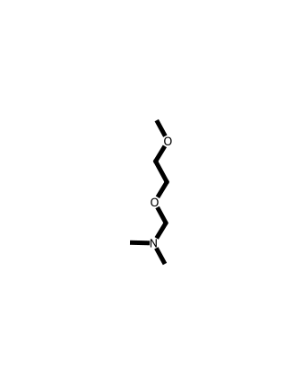 COCCOCN(C)C